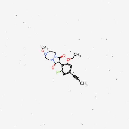 CC#Cc1cc(F)c(C2C(=O)N3CCN(OC)CCN3C2=O)c(OCC)c1